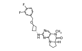 CN1C(=O)[C@@H]2CCCN2c2nc(N[C@H]3C[C@H](OCc4ccc(F)c(F)c4)C3)ncc21